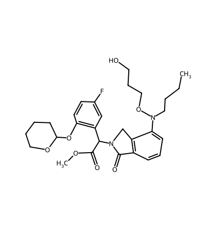 CCCCN(OCCCO)c1cccc2c1CN(C(C(=O)OC)c1cc(F)ccc1OC1CCCCO1)C2=O